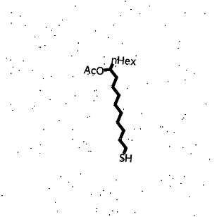 CCCCCCC(CCCCCCCCCS)OC(C)=O